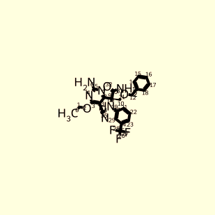 CCOc1nc(N)nc([C@@](COCc2ccccc2)(Nc2cccc(C(F)(F)F)c2)C(N)=O)c1C#N